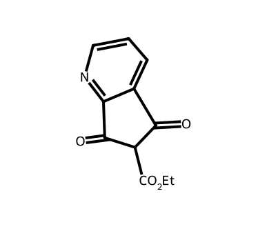 CCOC(=O)C1C(=O)c2cccnc2C1=O